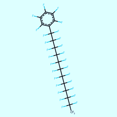 Fc1c(F)c(F)c(C(F)(F)C(F)(F)C(F)(F)C(F)(F)C(F)(F)C(F)(F)C(F)(F)C(F)(F)C(F)(F)C(F)(F)C(F)(F)C(F)(F)F)c(F)c1F